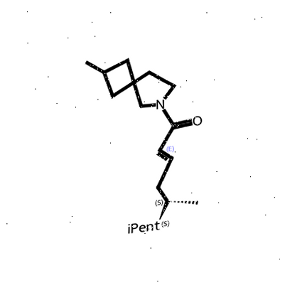 CCC[C@H](C)[C@@H](C)C/C=C/C(=O)N1CCC2(CC(C)C2)C1